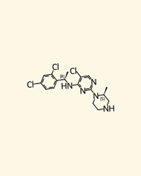 C[C@@H](Nc1nc(N2CCNC[C@@H]2C)ncc1Cl)c1ccc(Cl)cc1Cl